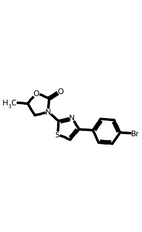 CC1CN(c2nc(-c3ccc(Br)cc3)cs2)C(=O)O1